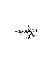 OCC1O[C@@H](OCC[C@H](O)I)C(O)C(O)[C@H]1O